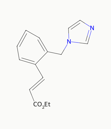 CCOC(=O)C=Cc1ccccc1Cn1ccnc1